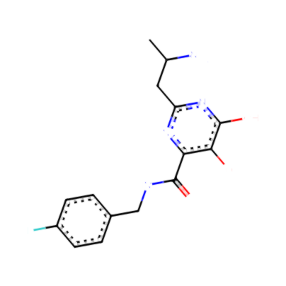 CC(N)Cc1nc(O)c(O)c(C(=O)NCc2ccc(F)cc2)n1